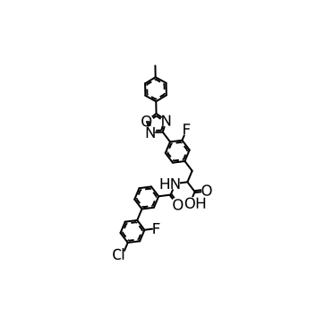 Cc1ccc(-c2nc(-c3ccc(CC(NC(=O)c4cccc(-c5ccc(Cl)cc5F)c4)C(=O)O)cc3F)no2)cc1